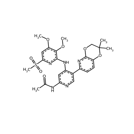 COc1cc(S(C)(=O)=O)nc(Nc2cc(NC(C)=O)ncc2-c2ccc3c(n2)OCC(C)(C)O3)c1OC